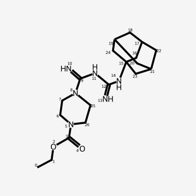 CCOC(=O)N1CCN(C(=N)NC(=N)NC23CC4CC(CC(C4)C2)C3)CC1